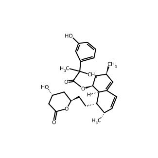 C[C@H]1C=C2C=C[C@H](C)[C@H](CC[C@@H]3C[C@@H](O)CC(=O)O3)[C@H]2[C@@H](OC(=O)C(C)(C)c2cccc(O)c2)C1